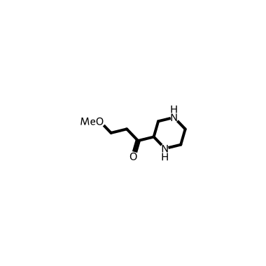 COCCC(=O)C1CNCCN1